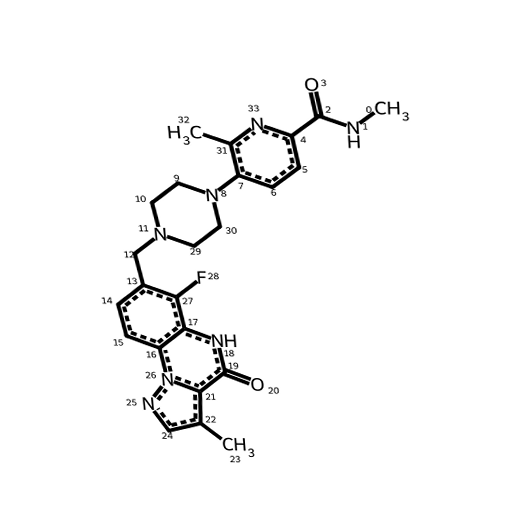 CNC(=O)c1ccc(N2CCN(Cc3ccc4c([nH]c(=O)c5c(C)cnn54)c3F)CC2)c(C)n1